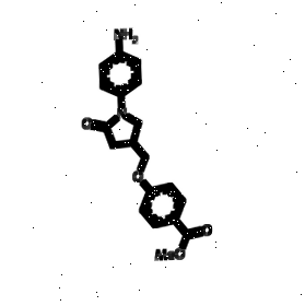 COC(=O)c1ccc(OCC2CC(=O)N(c3ccc(N)cc3)C2)cc1